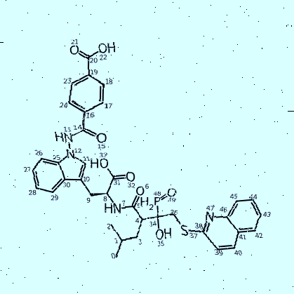 CC(C)CC(C(=O)N[C@@H](Cc1cn(NC(=O)c2ccc(C(=O)O)cc2)c2ccccc12)C(=O)O)C(O)(CSc1ccc2ccccc2n1)[PH2]=O